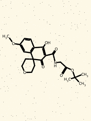 COc1ccc2c(c1)C1(CCOCC1)C(=O)C(C(=O)NCC(=O)OC(C)(C)C)=C2O